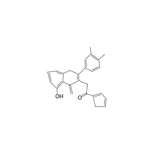 C=C1C(CC(=O)C2=CC=CC2)=C(c2ccc(C)c(C)c2)Cc2cccc(O)c21